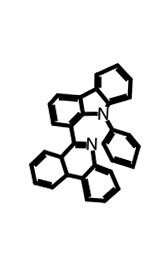 C1=CC2C(c3cccc4c5ccccc5n(-c5ccccc5)c34)=Nc3ccccc3C2C=C1